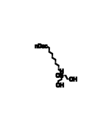 CCCCCCCCCCCCCCCCCCC[SH](=O)(CCO)CCO